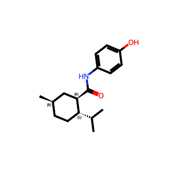 CC(C)[C@@H]1CC[C@@H](C)C[C@H]1C(=O)Nc1ccc(O)cc1